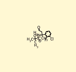 CC(CC=O)(N[S+]([O-])C(C)(C)C)c1cccc(Cl)c1F